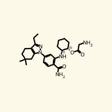 CCc1nn(-c2ccc(C(N)=O)c(N[C@H]3CCCC[C@@H]3OC(=O)CN)c2)c2c1CCC(C)(C)C2